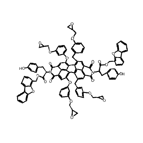 O=C(OCc1cccc2c1oc1ccccc12)C(Cc1ccc(O)cc1)N1C(=O)c2cc(Cc3cccc(OCC4CO4)c3)c3c4c(Oc5cccc(OCC6CO6)c5)cc5c6c(cc(Oc7cccc(OCC8CO8)c7)c(c7c(Cc8cccc(OCC9CO9)c8)cc(c2c37)C1=O)c64)C(=O)N(C(Cc1ccc(O)cc1)C(=O)OCc1cccc2c1oc1ccccc12)C5=O